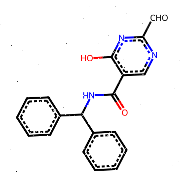 O=Cc1ncc(C(=O)NC(c2ccccc2)c2ccccc2)c(O)n1